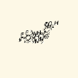 CC(Nc1ncnc2c1cc(C1CCCN(C(=O)O)C1)c(=O)n2C)c1cccc(C(F)F)c1F